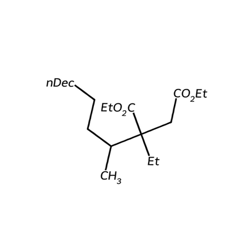 CCCCCCCCCCCCC(C)C(CC)(CC(=O)OCC)C(=O)OCC